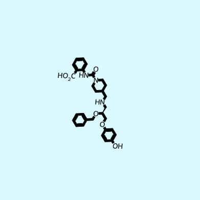 O=C(O)c1ccccc1NC(=O)N1CCC(CNC[C@@H](COc2ccc(O)cc2)OCc2ccccc2)CC1